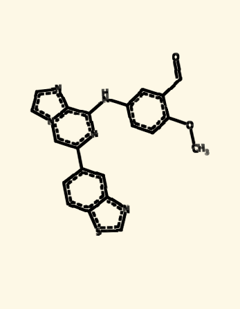 COc1ccc(Nc2nc(-c3ccc4scnc4c3)cn3ccnc23)cc1C=O